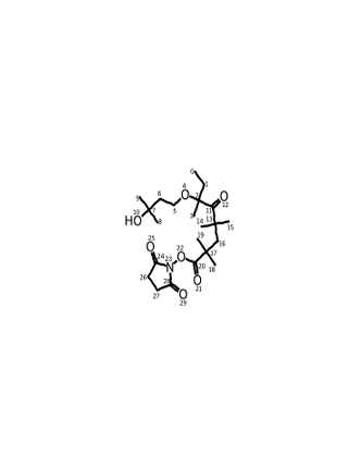 CCC(C)(OCCC(C)(C)O)C(=O)C(C)(C)CC(C)(C)C(=O)ON1C(=O)CCC1=O